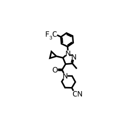 CC1=NN(c2cccc(C(F)(F)F)c2)C(C2CC2)C1C(=O)N1CCC(C#N)CC1